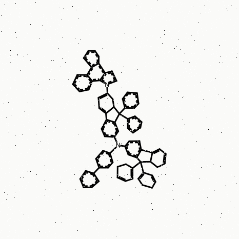 C1=CCCC(C2(C3=CCCC=C3)c3cc(N(c4ccc(-c5ccccc5)cc4)c4ccc5c(c4)C(c4ccccc4)(c4ccccc4)C4CC(n6ccc7c8ccccc8c8ccccc8c76)=CC=C54)ccc3C3=CC=CCC32)=C1